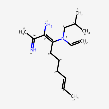 C=CN(CC(C)C)/C(CCC/C=C/C)=C(\N)C(C)=N